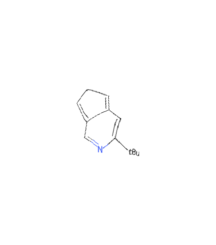 CC(C)(C)c1cc2c(cn1)=CCC=2